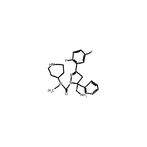 CN(C(=O)N1N=C(c2cc(F)ccc2F)CC1(CN)c1ccccc1)C1CCNCC1